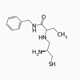 CCC(NC[C@H](N)CS)C(=O)NCc1ccccc1